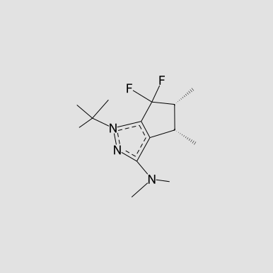 C[C@@H]1c2c(N(C)C)nn(C(C)(C)C)c2C(F)(F)[C@@H]1C